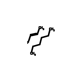 CC=CF.CCCCCC